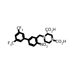 O=C(O)[C@@H]1CN(C(=O)O)CCN1Cc1cc(-c2cc(C(F)(F)F)cc(C(F)(F)F)c2)ccc1[N+](=O)[O-]